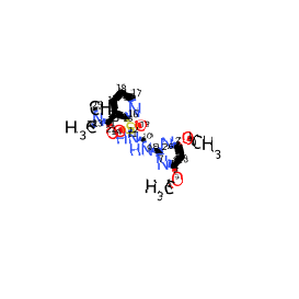 COc1cc(OC)nc(NCNS(=O)(=O)c2ncccc2C(=O)N(C)C)n1